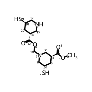 COC(=O)[C@H]1C[C@H](S)CN(COC(=O)[C@H]2CNC[C@H](S)C2)C1